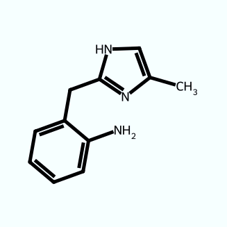 Cc1c[nH]c(Cc2ccccc2N)n1